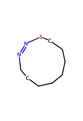 C1CCCCS/N=N\CCC1